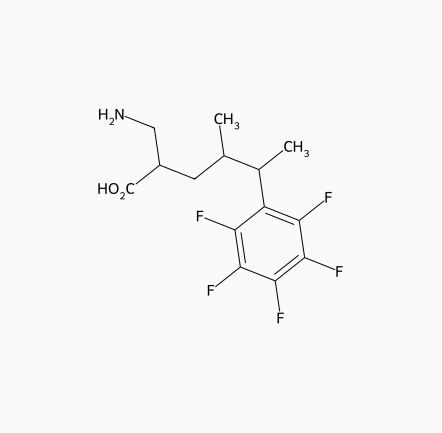 CC(CC(CN)C(=O)O)C(C)c1c(F)c(F)c(F)c(F)c1F